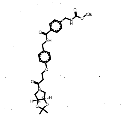 CC(C)(C)OC(=O)NCc1ccc(C(=O)NCc2ccc(OCCC(=O)N3C[C@H]4OC(C)(C)O[C@@H]4C3)cc2)cc1